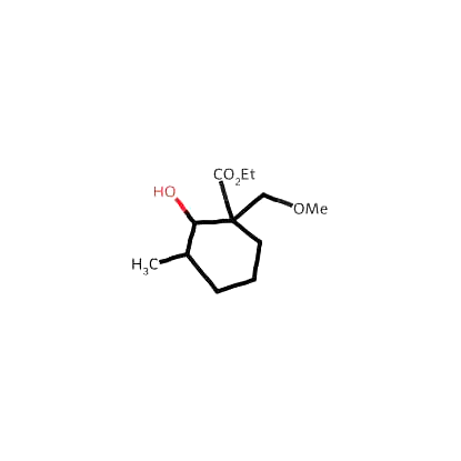 CCOC(=O)C1(COC)CCCC(C)C1O